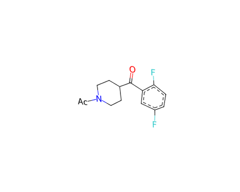 CC(=O)N1CCC(C(=O)c2cc(F)ccc2F)CC1